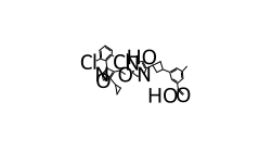 Cc1cc(C(=O)O)cc(C2CC(O)(c3cnc(OCc4c(-c5c(Cl)cccc5Cl)noc4C4CC4)cn3)C2)c1